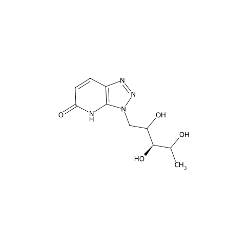 CC(O)[C@@H](O)C(O)Cn1nnc2ccc(=O)[nH]c21